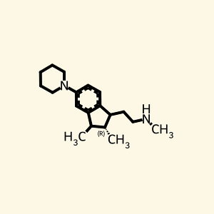 CNCCC1c2ccc(N3CCCCC3)cc2C(C)[C@H]1C